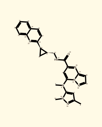 Cc1cc(N(C)c2cc(C(=O)NC[C@@H]3C[C@H]3c3ccc4ccccc4n3)nc3ccnn23)n(C)n1